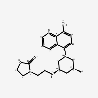 C[C@H]1C[C@@H](NCCN2CCOC2=O)CN(c2ccc(C(F)(F)F)c3ncccc23)C1